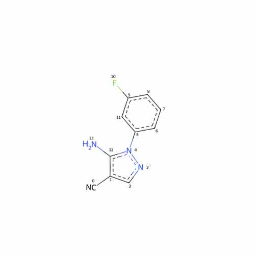 N#Cc1cnn(-c2cccc(F)c2)c1N